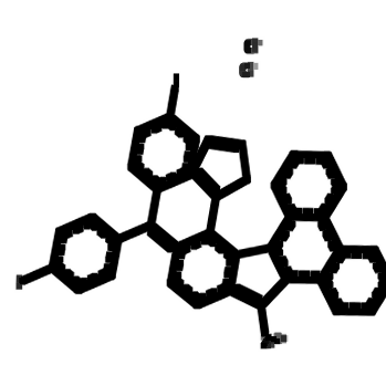 [Cl-].[Cl-].[Zr+2][C]1=c2ccc(=C(c3ccc(I)cc3)c3ccc(I)cc3)c(C3=CC=CC3)c2-c2c1c1ccccc1c1ccccc21